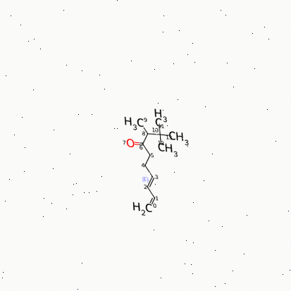 C=C/C=C/CCC(=O)C(C)C(C)(C)C